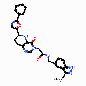 CCOC(=O)c1n[nH]c2ccc(CNC(=O)Cn3cnc4c(c3=O)NC(c3cnc(-c5ccccc5)o3)CC4)cc12